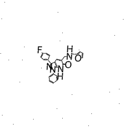 O=c1[nH]c2c(cc1CNCc1ccco1)c(-c1ccc(F)cc1)nn2-c1ccccc1